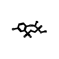 CCOP(=O)(COS(=O)(=O)c1cc(Cl)ccc1OC)OCC